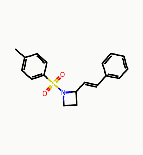 Cc1ccc(S(=O)(=O)N2CCC2C=Cc2ccccc2)cc1